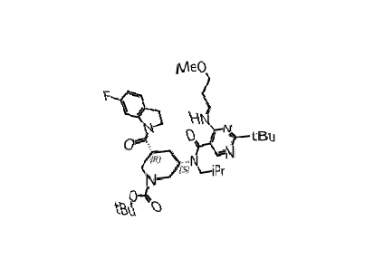 COCCCNc1nc(C(C)(C)C)ncc1C(=O)N(CC(C)C)[C@H]1C[C@@H](C(=O)N2CCc3ccc(F)cc32)CN(C(=O)OC(C)(C)C)C1